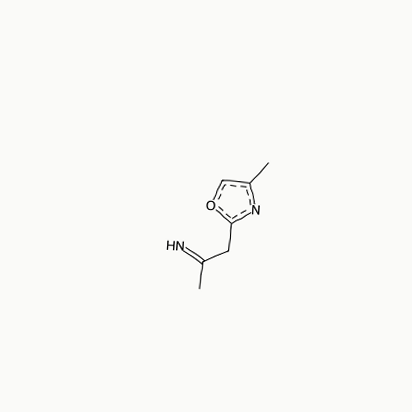 CC(=N)Cc1nc(C)co1